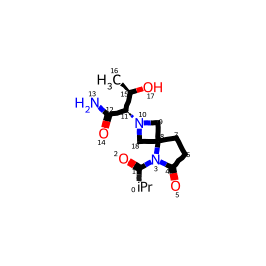 CC(C)C(=O)N1C(=O)CCC12CN([C@H](C(N)=O)[C@@H](C)O)C2